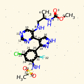 COC(=O)NC(C)CNc1cncnc1-c1c[nH]nc1-c1cc(Cl)cc(NS(C)(=O)=O)c1F